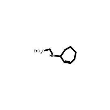 CCOC(=O)CNC1C=CCCCC1